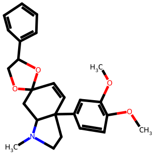 COc1ccc(C23C=CC4(CC2N(C)CC3)OCC(c2ccccc2)O4)cc1OC